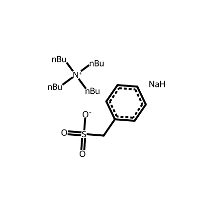 CCCC[N+](CCCC)(CCCC)CCCC.O=S(=O)([O-])Cc1ccccc1.[NaH]